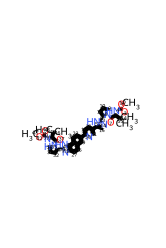 COC(=O)N[C@H](C(=O)N1CCC[C@H]1c1ncc(-c2ccc(-c3ccc4c(ccc5nc([C@@H]6CCCN6C(=O)[C@@H](NC(=O)OC)C(C)C)[nH]c54)c3)nc2)[nH]1)C(C)C